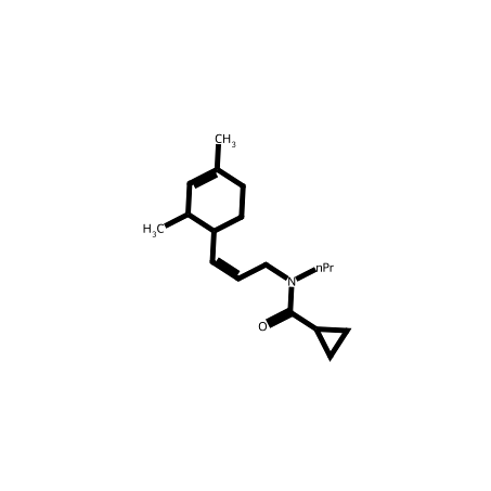 CCCN(C/C=C\C1CCC(C)=CC1C)C(=O)C1CC1